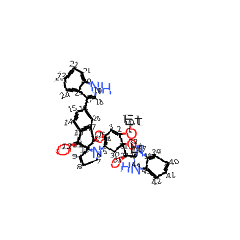 CCOC1=CC=C(N2CCCC23C(=O)c2ccc(-c4c[nH]c5ccccc45)cc2C3=O)CC1(OCC)C(=O)c1nc2ccccc2[nH]1